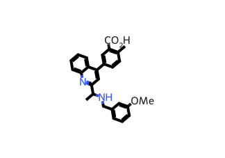 COc1cccc(CNC(C)c2cc(-c3ccc(C)c(C(=O)O)c3)c3ccccc3n2)c1